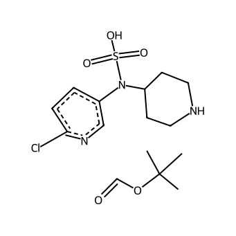 CC(C)(C)OC=O.O=S(=O)(O)N(c1ccc(Cl)nc1)C1CCNCC1